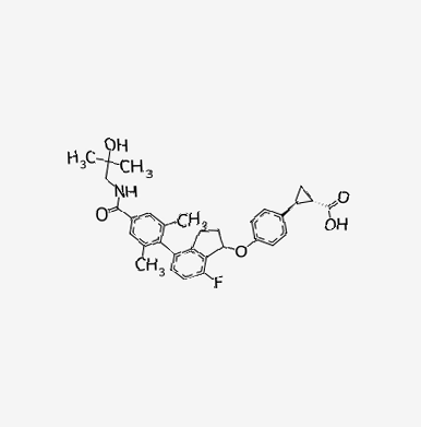 Cc1cc(C(=O)NCC(C)(C)O)cc(C)c1-c1ccc(F)c2c1CCC2Oc1ccc([C@H]2C[C@@H]2C(=O)O)cc1